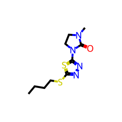 CCCCSc1nnc(N2CCN(C)C2=O)s1